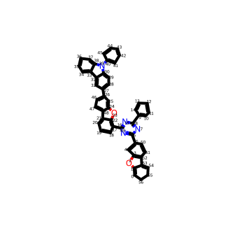 C1=c2oc3cc(-c4nc(-c5ccccc5)nc(-c5cccc6c5oc5cc(-c7ccc8c(c7)c7ccccc7n8-c7ccccc7)ccc56)n4)ccc3c2=CCC1